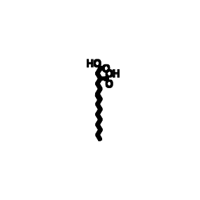 CCCCCCCCC=CCCC(CC(=O)O)C(=O)O